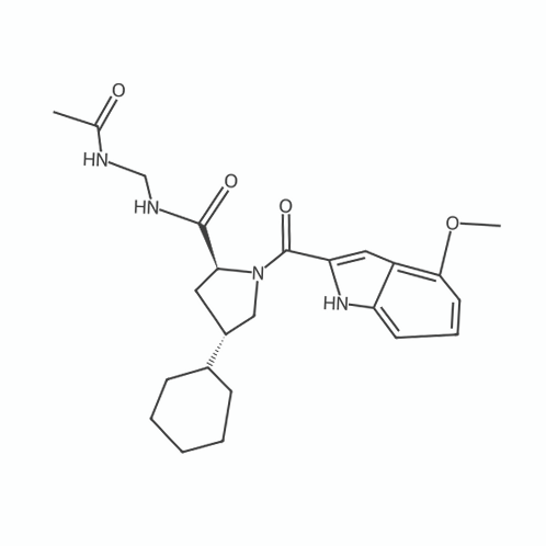 COc1cccc2[nH]c(C(=O)N3C[C@H](C4CCCCC4)C[C@H]3C(=O)NCNC(C)=O)cc12